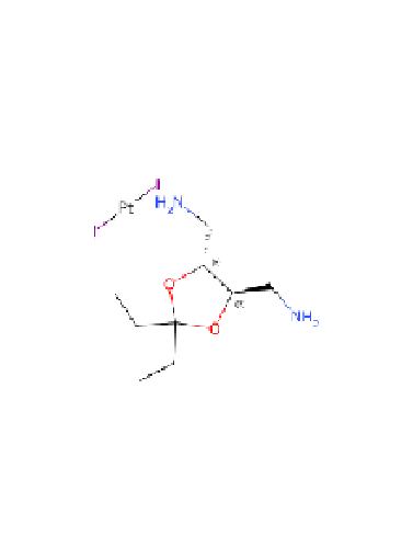 CCC1(CC)O[C@H](CN)[C@@H](CN)O1.[I][Pt][I]